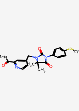 CNC(=O)c1cc(CN2C(=O)N(c3ccc(SC(F)(F)F)cc3)C(=O)C2(C)C)ccn1